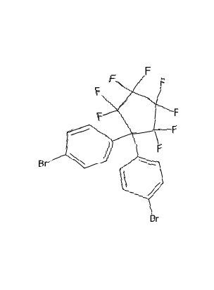 FC1(F)C(F)(F)C(F)(F)C(c2ccc(Br)cc2)(c2ccc(Br)cc2)C1(F)F